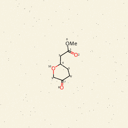 COC(=O)CC1CCC(=O)CO1